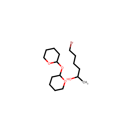 C1CCC(OC2CCCCO2)OC1.CC(O)CCCCBr